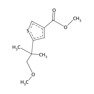 COCC(C)(C)c1cc(C(=O)OC)cs1